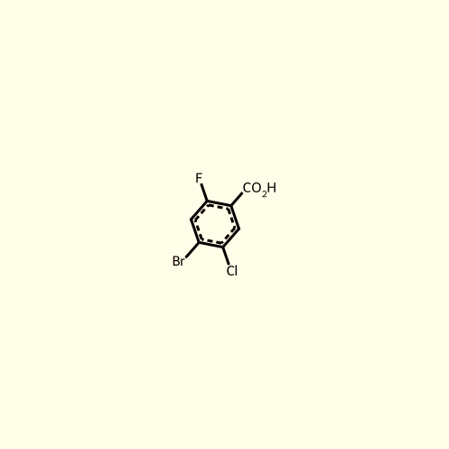 O=C(O)c1cc(Cl)c(Br)cc1F